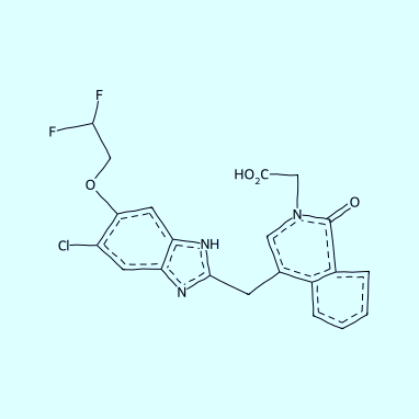 O=C(O)Cn1cc(Cc2nc3cc(Cl)c(OCC(F)F)cc3[nH]2)c2ccccc2c1=O